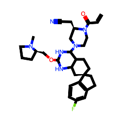 C=CC(=O)N1CCN(C2NC(OC[C@H]3CCCN3C)NC3C[C@]4(CCc5cc(F)ccc54)CCC32)C[C@H]1CC#N